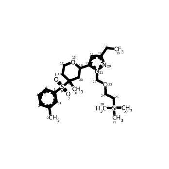 Cc1cccc(S(=O)(=O)C2(C)CCOC(c3cc(CC(F)(F)F)nn3COCC[Si](C)(C)C)C2)c1